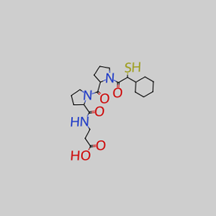 O=C(O)CCNC(=O)C1CCCN1C(=O)C1CCCN1C(=O)C(S)C1CCCCC1